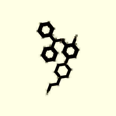 FCCN1CCN(c2ccc(F)c(NC(c3ccccc3)c3ccccc3)c2)CC1